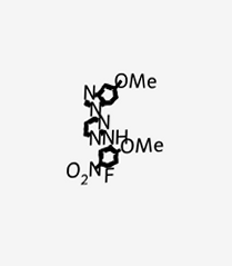 COc1ccc2c(c1)ncn2-c1ccnc(Nc2cc([N+](=O)[O-])c(F)cc2OC)n1